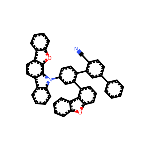 N#Cc1ccc(-c2ccccc2)cc1-c1ccc(-n2c3ccccc3c3ccc4c5ccccc5oc4c32)cc1-c1cccc2oc3ccccc3c12